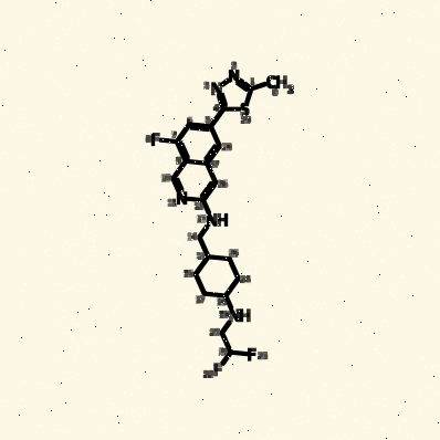 Cc1nnc(-c2cc(F)c3cnc(NCC4CCC(NCC(F)F)CC4)cc3c2)s1